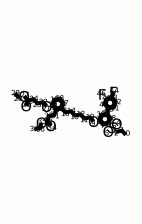 CCCS(=O)(=O)c1cc(OCCCCCCc2cccc(OCCCC(=O)OCC)c2CCC(=O)OCC)cc(-c2ccc(F)c(F)c2)c1